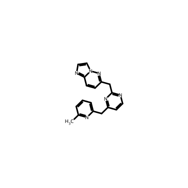 Cc1cccc(Cc2ccnc(Cc3ccc4nccn4n3)n2)n1